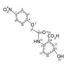 O=C(COc1ccc([N+](=O)[O-])cc1)Nc1ccc(O)cc1C(=O)O